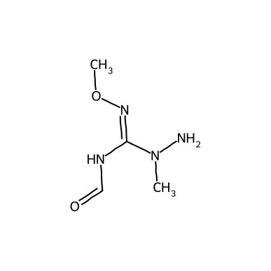 CO/N=C(\NC=O)N(C)N